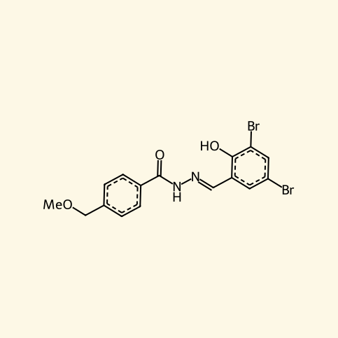 COCc1ccc(C(=O)NN=Cc2cc(Br)cc(Br)c2O)cc1